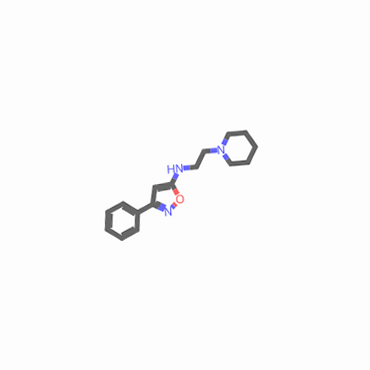 c1ccc(-c2cc(NCCN3CCCCC3)on2)cc1